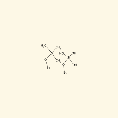 CCO[Si](C)(C)C.CCO[Si](O)(O)O